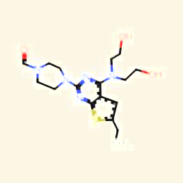 CCc1cc2c(N(CCO)CCO)nc(N3CCN(C=O)CC3)nc2s1